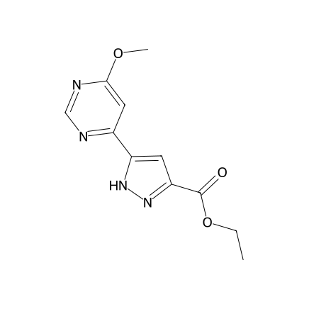 CCOC(=O)c1cc(-c2cc(OC)ncn2)[nH]n1